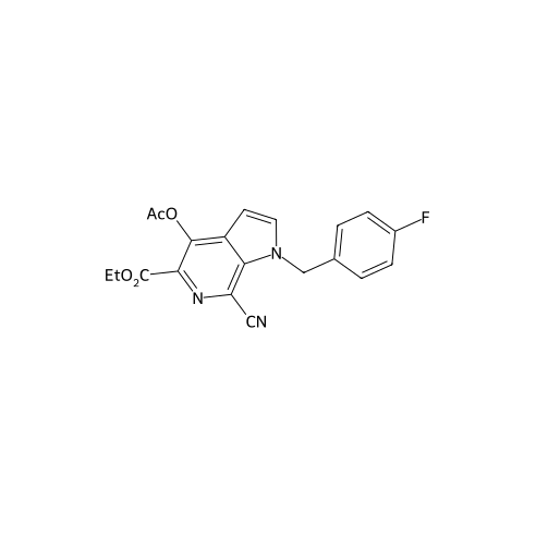 CCOC(=O)c1nc(C#N)c2c(ccn2Cc2ccc(F)cc2)c1OC(C)=O